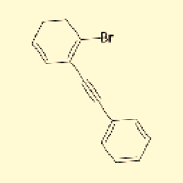 BrC1=C(C#Cc2ccccc2)C=CCC1